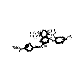 COC(=O)c1ccc(C#C[Se]c2cc(OCc3ccc(C(F)(F)F)cc3)c3c(c2)C(C)(C)CCC3(C)C)cc1